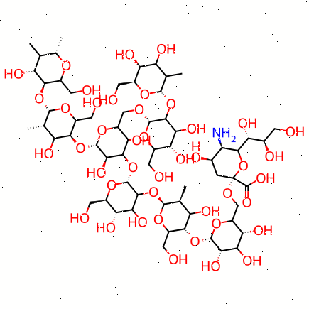 CC1C(O)[C@H](O)[C@H](CO)O[C@H]1OC1C(O)[C@H](O)C(CO)O[C@@H]1OCC1O[C@@H](O[C@@H]2C(CO)O[C@@H](O[C@@H]3C(CO)O[C@@H](C)C(C)[C@H]3O)[C@@H](C)C2O)[C@H](O)C(O[C@H]2O[C@H](CO)[C@@H](O)C(O)C2O[C@@H]2OC(CO)[C@@H](O[C@@H]3OC(CO[C@]4(C(=O)O)C[C@@H](O)[C@@H](N)C([C@H](O)[C@H](O)CO)O4)[C@H](O)C(O)[C@@H]3O)C(O)[C@@H]2C)[C@@H]1O